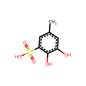 Cc1cc(O)c(O)c(S(=O)(=O)O)c1